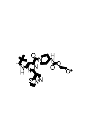 COCCOC(=O)NC1CCN(C(=O)c2cc(N[C@H](C)C(C)(C)C)nc(-c3cnn4ccsc34)n2)CC1